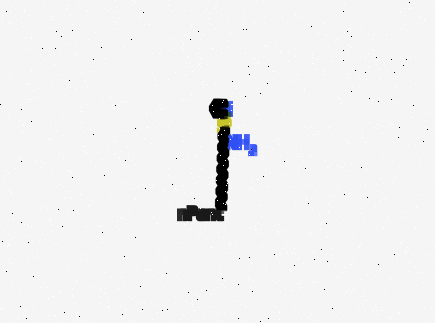 CCCCCC=CCC=CCCCCCCCC(N)CCSSc1ccccn1